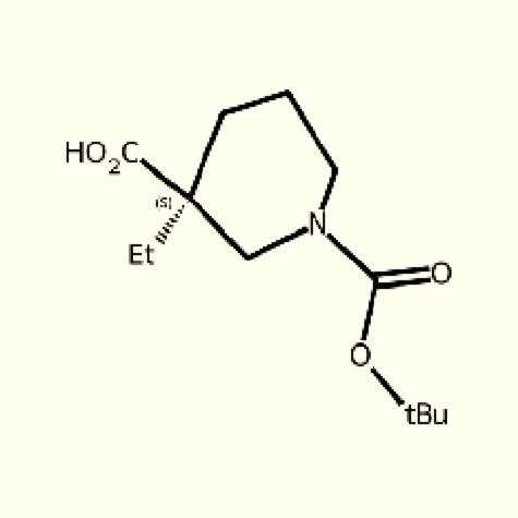 CC[C@]1(C(=O)O)CCCN(C(=O)OC(C)(C)C)C1